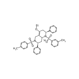 CCOC1=C2CN(S(=O)(=O)c3ccc(C)cc3)[C@H](c3ccccc3)C[C@@H]2N(S(=O)(=O)c2cccc(C)c2)[C@H](c2ccccc2)C1